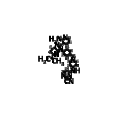 C=C(C)c1ccc2nc(-c3cccnc3N)n(-c3ccc(CN4CCC(Nc5ccnc(C#N)n5)CC4)cc3)c2n1